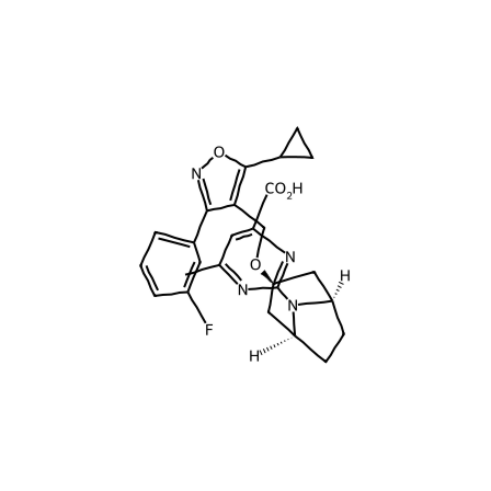 Cc1cc(C(=O)O)nc(N2[C@@H]3CC[C@H]2C[C@@H](OCc2c(-c4cccc(F)c4)noc2C2CC2)C3)n1